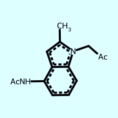 CC(=O)Cn1c(C)cc2c(NC(C)=O)cccc21